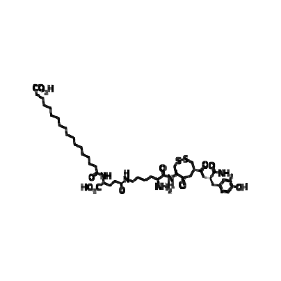 NC(=O)[C@@H](CC(=O)[C@@H]1CSSC[C@H](NC(=O)[C@@H](N)CCCCNC(=O)CCC(NC(=O)CCCCCCCCCCCCCCCCC(=O)O)C(=O)O)C(=O)C1)Cc1ccc(O)cc1